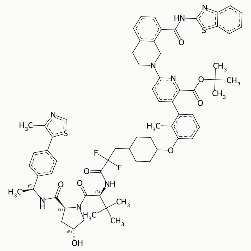 Cc1ncsc1-c1ccc([C@H](C)NC(=O)[C@@H]2C[C@@H](O)CN2C(=O)[C@@H](NC(=O)C(F)(F)CC2CCC(Oc3cccc(-c4ccc(N5CCc6cccc(C(=O)Nc7nc8ccccc8s7)c6C5)nc4C(=O)OC(C)(C)C)c3C)CC2)C(C)(C)C)cc1